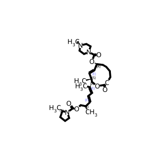 C/C(=C\C=C\[C@@H](C)COC(=O)N1CCC[C@@H]1C)[C@H]1OC(=O)CCCCC[C@@H](OC(=O)N2CCN(C)CC2)/C=C/[C@@H]1C